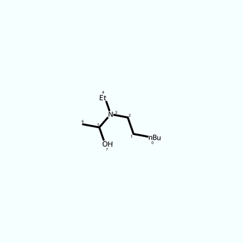 CCCCCCN(CC)C(C)O